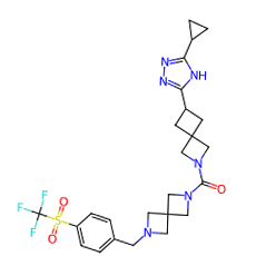 O=C(N1CC2(CC(c3nnc(C4CC4)[nH]3)C2)C1)N1CC2(CN(Cc3ccc(S(=O)(=O)C(F)(F)F)cc3)C2)C1